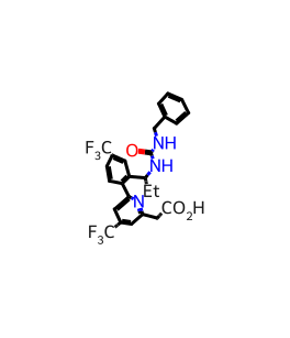 CCC(NC(=O)NCc1ccccc1)c1cc(C(F)(F)F)ccc1-c1cc(C(F)(F)F)cc(CC(=O)O)n1